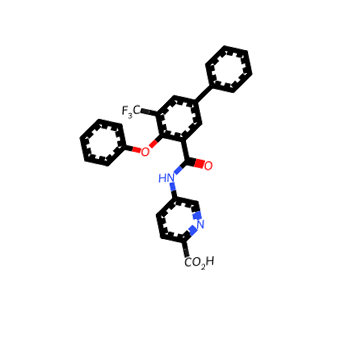 O=C(O)c1ccc(NC(=O)c2cc(-c3ccccc3)cc(C(F)(F)F)c2Oc2ccccc2)cn1